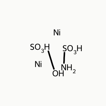 NS(=O)(=O)O.O=S(=O)(O)O.[Ni].[Ni]